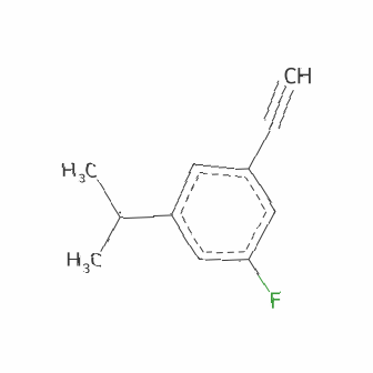 C#Cc1cc(F)cc([C](C)C)c1